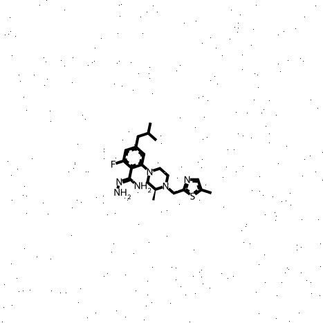 Cc1cnc(CN2CCN(c3cc(CC(C)C)cc(F)c3/C(N)=N/N)C[C@@H]2C)s1